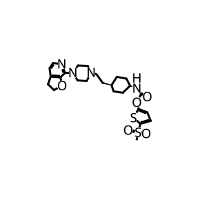 CS(=O)(=O)c1ccc(OC(=O)N[C@H]2CC[C@H](CCN3CCN(c4nccc5c4OCC5)CC3)CC2)s1